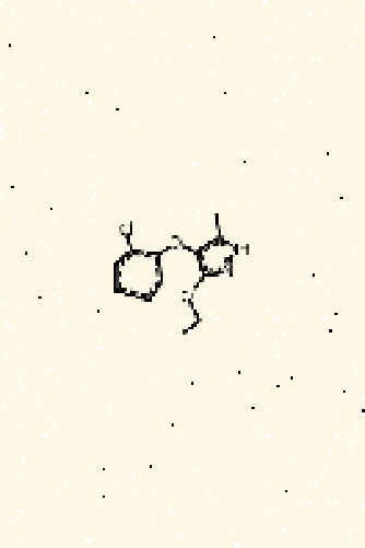 CCOc1n[nH]c(C)c1Oc1ccccc1Cl